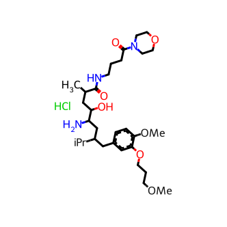 COCCCOc1cc(CC(CC(N)C(O)CC(C)C(=O)NCCCC(=O)N2CCOCC2)C(C)C)ccc1OC.Cl